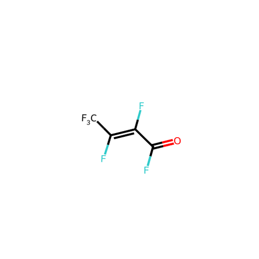 O=C(F)/C(F)=C(\F)C(F)(F)F